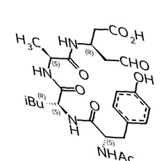 CC[C@@H](C)[C@H](NC(=O)[C@H](Cc1ccc(O)cc1)NC(C)=O)C(=O)N[C@@H](C)C(=O)N[C@H](CC=O)CC(=O)O